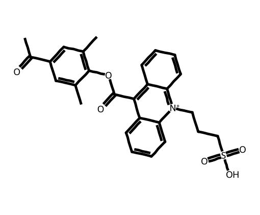 CC(=O)c1cc(C)c(OC(=O)c2c3ccccc3[n+](CCCS(=O)(=O)O)c3ccccc23)c(C)c1